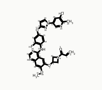 C=CC(=O)N1CC(Oc2cc3c(Nc4ccc(Oc5ccn(-c6cnc(C)c(Cl)c6)n5)cc4F)ncnc3cc2OC)C1